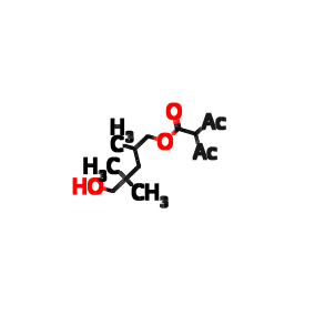 CC(=O)C(C(C)=O)C(=O)OCC(C)CC(C)(C)CO